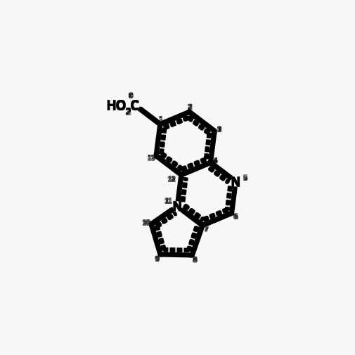 O=C(O)c1ccc2ncc3cccn3c2c1